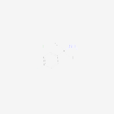 CC(N)(C#N)c1ccc(F)cc1.Cl